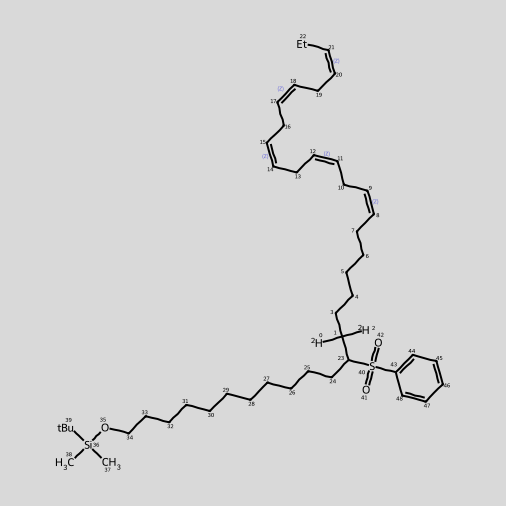 [2H]C([2H])(CCCCC/C=C\C/C=C\C/C=C\C/C=C\C/C=C\CC)C(CCCCCCCCCCCO[Si](C)(C)C(C)(C)C)S(=O)(=O)c1ccccc1